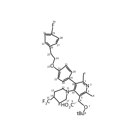 Cc1nc(C)c([C@H](OC(C)(C)C)C(=O)O)c(N2CCC(C(F)(F)F)CC2)c1-c1ccc(OCCc2ccc(F)cc2)cc1